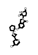 O=C1CCC(N2Cc3cc(O[C@H]4CCCC[C@@H]4N4CC(c5cc(Cl)ccn5)C4)ccc3C2=O)C(=O)N1